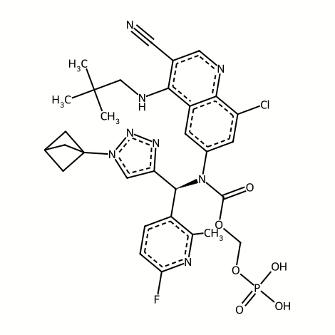 Cc1nc(F)ccc1[C@@H](c1cn(C23CC(C2)C3)nn1)N(C(=O)OCOP(=O)(O)O)c1cc(Cl)c2ncc(C#N)c(NCC(C)(C)C)c2c1